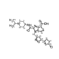 CC(C)N1CCC(NC(=O)c2nc3c(C(=O)O)scc3n2Cc2cc(-c3ccc(Cl)s3)on2)CC1